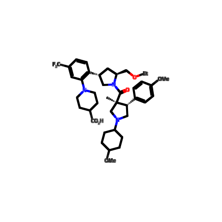 CCOC[C@@H]1C[C@@H](c2ccc(C(F)(F)F)cc2N2CCC(C(=O)O)CC2)CN1C(=O)[C@]1(C)CN(C2CCC(OC)CC2)C[C@H]1c1ccc(OC)cc1